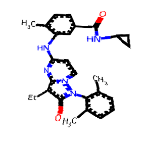 CCc1c(=O)n(-c2c(C)cccc2C)n2ccc(Nc3cc(C(=O)NC4CC4)ccc3C)nc12